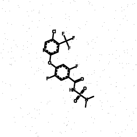 CN(C)S(=O)(=O)NC(=O)c1cc(F)c(Oc2cc(C(F)(F)F)c(Cl)cn2)cc1F